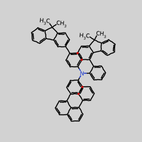 CC1(C)c2ccccc2-c2cc(-c3ccc(N(c4ccc(-c5cccc6cccc(-c7ccccc7)c56)cc4)c4ccccc4-c4cccc5c4-c4ccccc4C5(C)C)cc3)ccc21